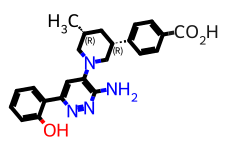 C[C@@H]1C[C@H](c2ccc(C(=O)O)cc2)CN(c2cc(-c3ccccc3O)nnc2N)C1